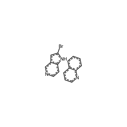 Brc1cc2cnccc2[nH]1.c1ccc2ncccc2c1